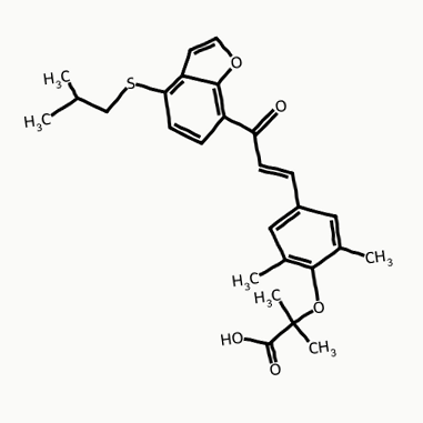 Cc1cc(C=CC(=O)c2ccc(SCC(C)C)c3ccoc23)cc(C)c1OC(C)(C)C(=O)O